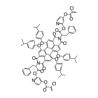 C=C(Cl)C(=O)Oc1ccnc(OC(=O)C(Cc2ccccc2)N2C(=O)c3cc(Oc4ccc(C(C)C)cc4)c4c5c(Oc6ccc(C(C)C)cc6)cc6c7c(cc(Oc8ccc(C(C)C)cc8)c(c8c(Oc9ccc(C(C)C)cc9)cc(c3c48)C2=O)c75)C(=O)N(C(Cc2ccccc2)C(=O)Oc2cc(OC(=O)C(=C)Cl)ccn2)C6=O)c1